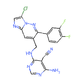 N#Cc1c(N)ncnc1NCc1cc2ncc(Cl)n2nc1-c1ccc(F)c(F)c1